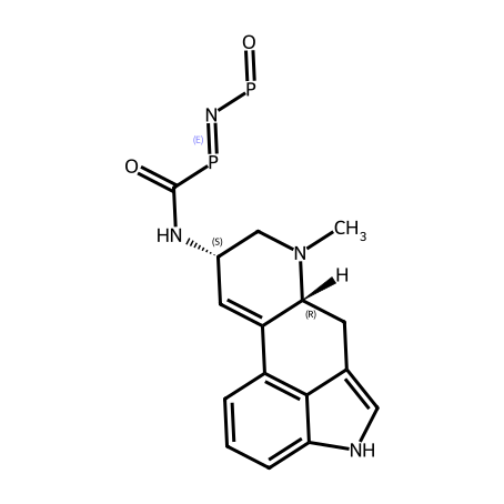 CN1C[C@@H](NC(=O)/P=N/P=O)C=C2c3cccc4[nH]cc(c34)C[C@H]21